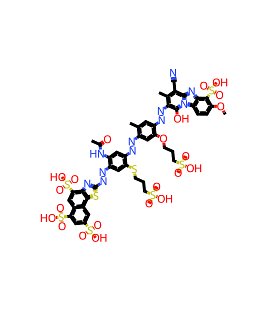 COc1ccc2c(nc3c(C#N)c(C)c(N=Nc4cc(C)c(N=Nc5cc(NC(C)=O)c(N=Nc6nc7c(S(=O)(=O)O)cc8c(S(=O)(=O)O)cc(S(=O)(=O)O)cc8c7s6)cc5SCCCS(=O)(=O)O)cc4OCCCS(=O)(=O)O)c(O)n32)c1S(=O)(=O)O